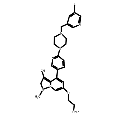 COCCOC1=CN2C(=C(C#N)CN2C)C(c2ccc(N3CCN(Cc4cncc(F)c4)CC3)nc2)=C1